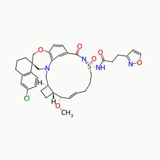 CO[C@H]1/C=C/CCC[S@@](=O)(NC(=O)CCc2ccon2)=NC(=O)c2ccc3c(c2)N(C[C@@H]2CC[C@H]21)C[C@@]1(CCCc2cc(Cl)ccc21)CO3